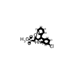 CS(=O)(=O)CC(=O)c1[nH]c2cc(Cl)ccc2c1-c1ccccn1